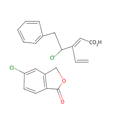 C=CC(=CC(=O)O)C(Cl)Cc1ccccc1.O=C1OCc2cc(Cl)ccc21